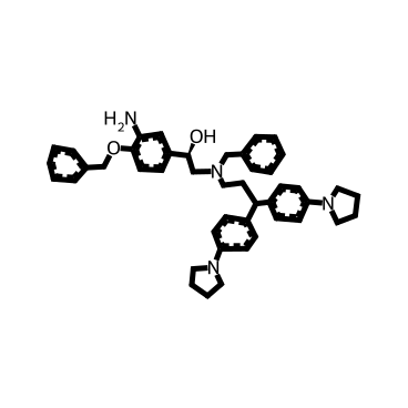 Nc1cc([C@@H](O)CN(CCC(c2ccc(N3CCCC3)cc2)c2ccc(N3CCCC3)cc2)Cc2ccccc2)ccc1OCc1ccccc1